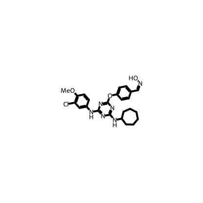 COc1ccc(Nc2nc(NC3CCCCCC3)nc(Oc3ccc(/C=N\O)cc3)n2)cc1Cl